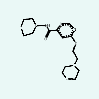 O=C(NN1CCOCC1)c1cc(OCCN2CCOCC2)ncn1